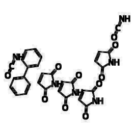 N=C=O.N=C=O.O=C1C=CC(=O)N1.O=C1C=CC(=O)N1.O=C1C=CC(=O)N1.O=C1C=CC(=O)N1.c1ccc(-c2ccccc2)cc1